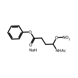 CC(=O)NC(CCC(=O)Oc1ccccc1)O[N+](=O)[O-].[NaH]